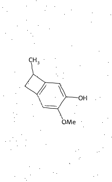 COc1cc2c(cc1O)C(C)C2